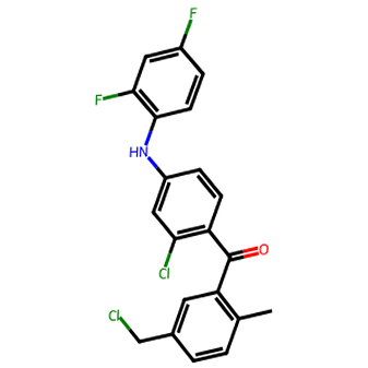 Cc1ccc(CCl)cc1C(=O)c1ccc(Nc2ccc(F)cc2F)cc1Cl